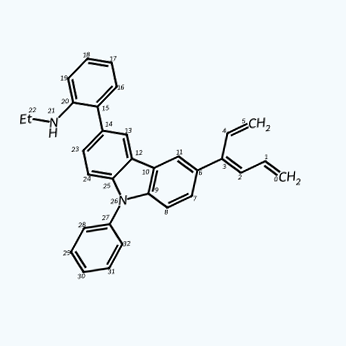 C=C/C=C(\C=C)c1ccc2c(c1)c1cc(-c3ccccc3NCC)ccc1n2-c1ccccc1